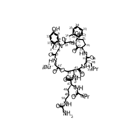 CCC(C)[C@@H]1NC(=O)[C@H](Cc2ccc(O)cc2)N(C)C(=O)[C@H](Cc2ccccc2)N2C(=O)C(CC[C@@H]2O)NC(=O)[C@H](CC(C)C)NC(=O)[C@@H](NC(=O)[C@H](CCCNC(N)=O)NC(=O)C(C)C)[C@H](C)OC1=O